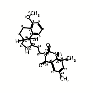 COc1cccc2c1CC[C@H]1CNC(CCn3c(=O)[nH]c4c(C)cc(C)cc4c3=O)[C@@H]21